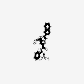 CN(C)C[C@@H](NC(=O)c1cc2c(=O)[nH]c(-c3ccc4ccccc4c3)cn2n1)c1ccccc1.O=CO